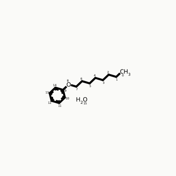 CCCCCCCCOc1ccccc1.O